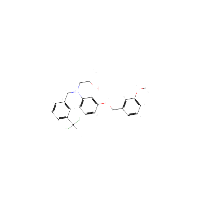 O[C@H](CN(Cc1cccc(C(F)(F)C(F)(F)F)c1)c1cccc(OCc2cccc(OC(F)(F)F)c2)c1)C(F)(F)F